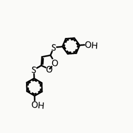 Oc1ccc(SC2=CC(Sc3ccc(O)cc3)OO2)cc1